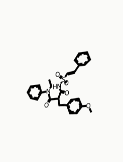 CCN(C(=O)C(Cc1ccc(OC)cc1)C(=O)NS(=O)(=O)C=Cc1ccccc1)c1ccccc1